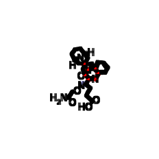 NC(=O)CO/N=C(\CCC(=O)O)c1nc2ccccc2n([C@H]2C[C@H]3CCC[C@@H](C2)N3C2CC3CCCC(C3)C2)c1=O